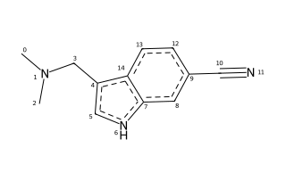 CN(C)Cc1c[nH]c2cc(C#N)ccc12